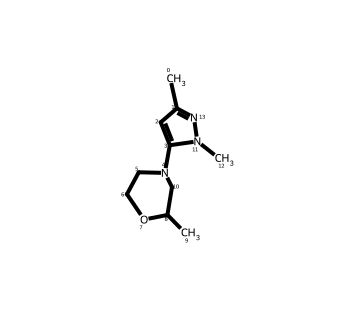 Cc1cc(N2CCOC(C)C2)n(C)n1